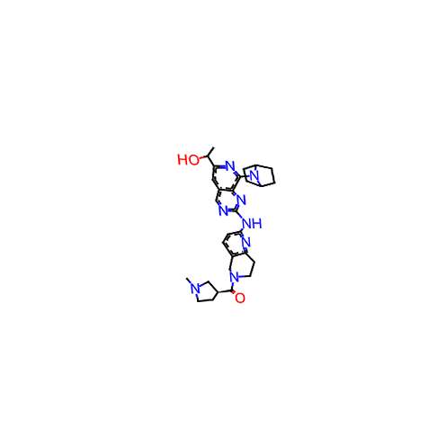 CC(O)c1cc2cnc(Nc3ccc4c(n3)CCN(C(=O)[C@H]3CCN(C)C3)C4)nc2c(N2C3CCC2CC3)n1